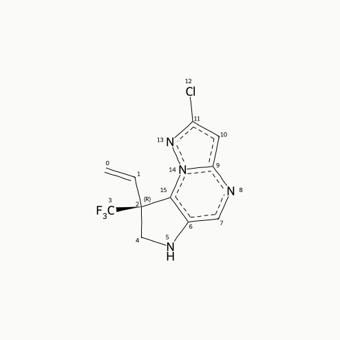 C=C[C@@]1(C(F)(F)F)CNc2cnc3cc(Cl)nn3c21